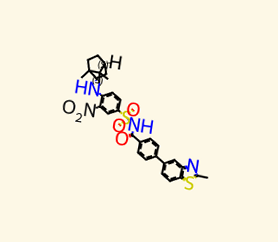 Cc1nc2cc(-c3ccc(C(=O)NS(=O)(=O)c4ccc(N[C@H]5C[C@@H]6CCC5(C)C6(C)C)c([N+](=O)[O-])c4)cc3)ccc2s1